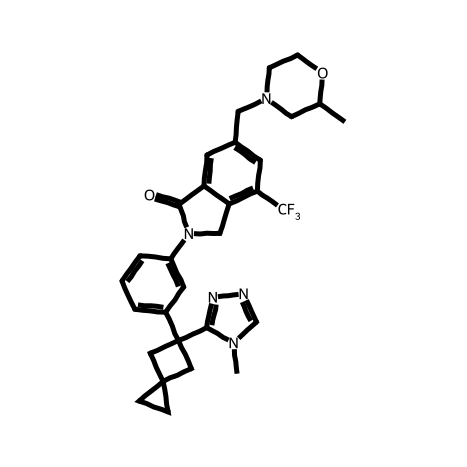 CC1CN(Cc2cc3c(c(C(F)(F)F)c2)CN(c2cccc(C4(c5nncn5C)CC5(CC5)C4)c2)C3=O)CCO1